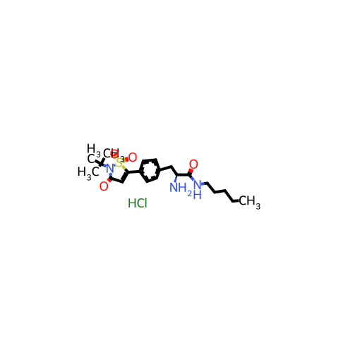 CCCCCNC(=O)[C@@H](N)Cc1ccc(C2=CC(=O)N(C(C)(C)C)S2(=O)=O)cc1.Cl